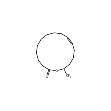 O=C1CCCCCCCC/C=C\CCCC(C(F)(F)F)O1